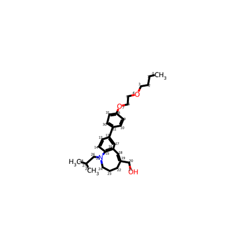 CCCCOCCOc1ccc(-c2ccc3c(c2)/C=C(/CO)CCCN3CC(C)C)cc1